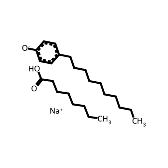 CCCCCCCC(=O)O.CCCCCCCCCCc1ccc([O-])cc1.[Na+]